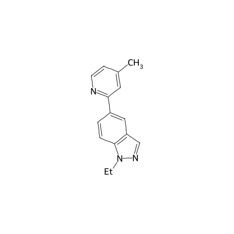 CCn1ncc2cc(-c3cc(C)ccn3)ccc21